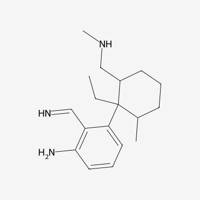 CCC1(c2cccc(N)c2C=N)C(C)CCCC1CNC